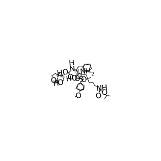 COc1ccc(S(=O)(=O)C(N)(CC(C)(C)CCCNC(=O)OC(C)C)[C@H](O)[C@H](Cc2ccccc2)NC(=O)O[C@@H]2CO[C@@H]3OCC[C@@H]32)cc1